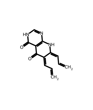 C=C/C=c1/[nH]c2nc[nH]c(=O)c2c(=O)/c1=C/C=C